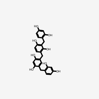 Oc1ccc(Cc2cc(Cc3ccc(O)c(Cc4ccc(O)cc4O)c3O)c(O)cc2O)c(O)c1